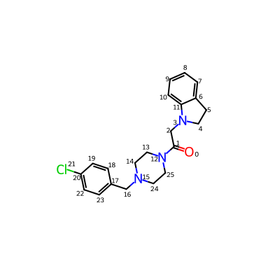 O=C(CN1CCc2ccccc21)N1CCN(Cc2ccc(Cl)cc2)CC1